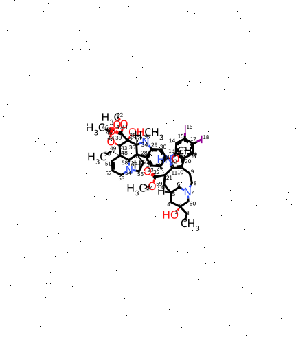 CC[C@]1(O)C[C@H]2CN(CCc3c([nH]c4cc(I)c(I)cc34)[C@@](C(=O)OC)(c3cc4c(cc3OC)N(C)[C@H]3[C@@](O)(C(=O)OC)[C@H](OC(C)=O)[C@]5(CC)C=CCN6CC[C@]43[C@@H]65)C2)C1